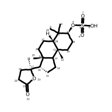 CC1(C)[C@@H](OS(=O)(=O)O)CC[C@]2(C)C3CC[C@H]([C@]4(C)CCC(=O)O4)[C@]3(C)CC[C@H]12